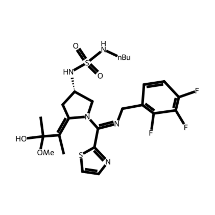 CCCCNS(=O)(=O)N[C@H]1C/C(=C(/C)C(C)(O)OC)N(/C(=N\Cc2ccc(F)c(F)c2F)c2nccs2)C1